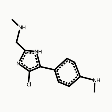 CNCc1nc(Cl)c(-c2ccc(NC)cc2)[nH]1